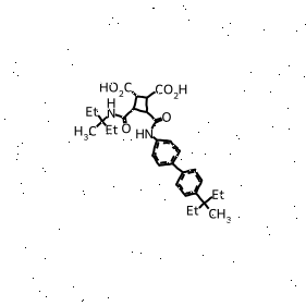 CCC(C)(CC)NC(=O)C1C(C(=O)O)C(C(=O)O)C1C(=O)Nc1ccc(-c2ccc(C(C)(CC)CC)cc2)cc1